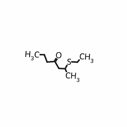 CCCC(=O)CC(C)SCC